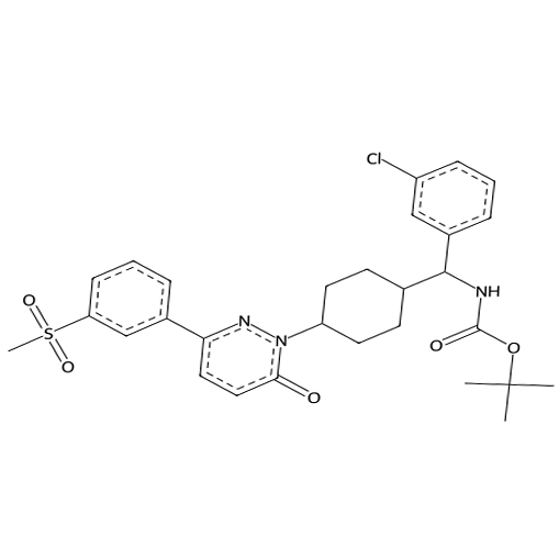 CC(C)(C)OC(=O)NC(c1cccc(Cl)c1)C1CCC(n2nc(-c3cccc(S(C)(=O)=O)c3)ccc2=O)CC1